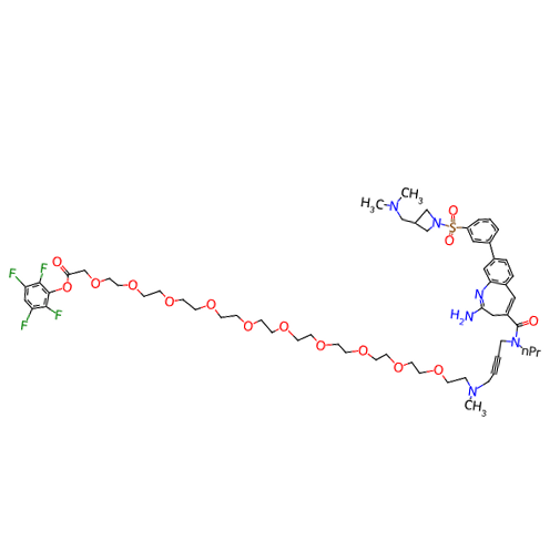 CCCN(CC#CCN(C)CCOCCOCCOCCOCCOCCOCCOCCOCCOCCOCC(=O)Oc1c(F)c(F)cc(F)c1F)C(=O)C1=Cc2ccc(-c3cccc(S(=O)(=O)N4CC(CN(C)C)C4)c3)cc2N=C(N)C1